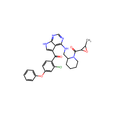 CC1OC1C(=O)N1CCCCC1CNc1ncnc2[nH]cc(C(=O)c3ccc(Oc4ccccc4)cc3Cl)c12